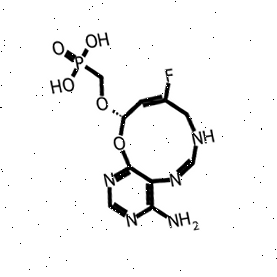 Nc1ncnc2c1/N=C\NC/C(F)=C\[C@@H](OCP(=O)(O)O)O2